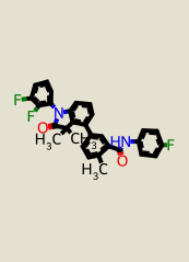 Cc1ccc(-c2cccc3c2C(C)(C)C(=O)N3c2cccc(F)c2F)cc1C(=O)Nc1ccc(F)cc1